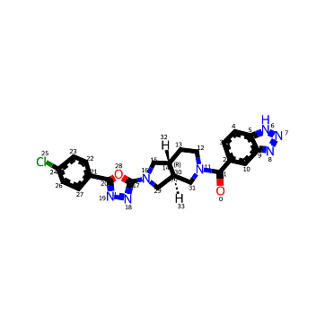 O=C(c1ccc2[nH]nnc2c1)N1CC[C@H]2CN(c3nnc(-c4ccc(Cl)cc4)o3)C[C@@H]2C1